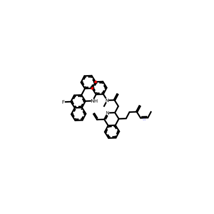 C=CC1=NC(CC(=C)N(C)c2ccccc2Nc2c(-c3ccccc3)cc(F)c3ccccc23)C(CCC(=C)/C=C\C)c2ccccc21